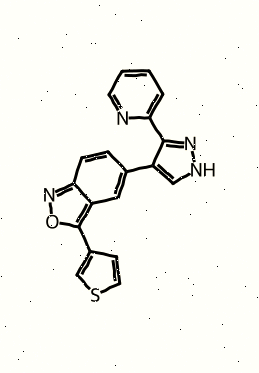 c1ccc(-c2n[nH]cc2-c2ccc3noc(-c4ccsc4)c3c2)nc1